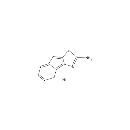 I.Nc1nc2c(s1)=CC1=CC=CCC=21